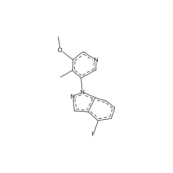 COc1cncc(-n2ncc3c(F)cccc32)c1C